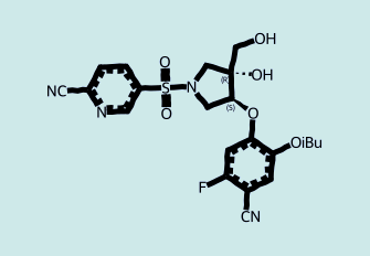 CC(C)COc1cc(C#N)c(F)cc1O[C@H]1CN(S(=O)(=O)c2ccc(C#N)nc2)C[C@@]1(O)CO